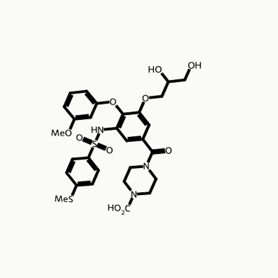 COc1cccc(Oc2c(NS(=O)(=O)c3ccc(SC)cc3)cc(C(=O)N3CCN(C(=O)O)CC3)cc2OCC(O)CO)c1